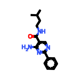 CC(C)CCNC(=O)c1cnc(-c2ccccc2)nc1N